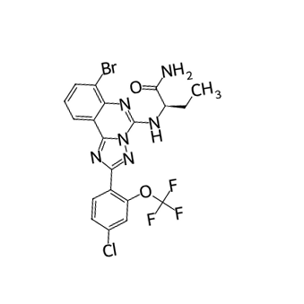 CC[C@@H](Nc1nc2c(Br)cccc2c2nc(-c3ccc(Cl)cc3OC(F)(F)F)nn12)C(N)=O